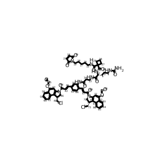 NC(=O)NCCC[C@@H](NC(=O)C1(C(=O)NCCCCCN2C(=O)C=CC2=O)CCC1)C(=O)NCCC(=O)Nc1cc(/C=C/C(=O)N2C[C@@H](CCl)c3c2cc(OP=O)c2ccccc32)ccc1/C=C/C(=O)N1C[C@@H](CCl)c2c1cc(OP=O)c1ccccc21